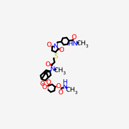 CNC(=O)OC1CCC[C@]2(C1)OOC1(O2)C2CC3CC1CC(N(C)C(=O)CCSC1CC(=O)N(CC4CCC(C(=O)NC)CC4)C1=O)(C3)C2